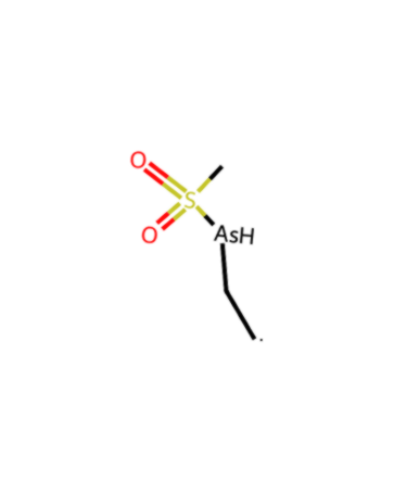 [CH2]C[AsH]S(C)(=O)=O